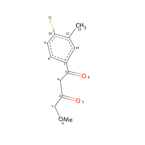 COCC(=O)CC(=O)c1ccc(F)c(C)c1